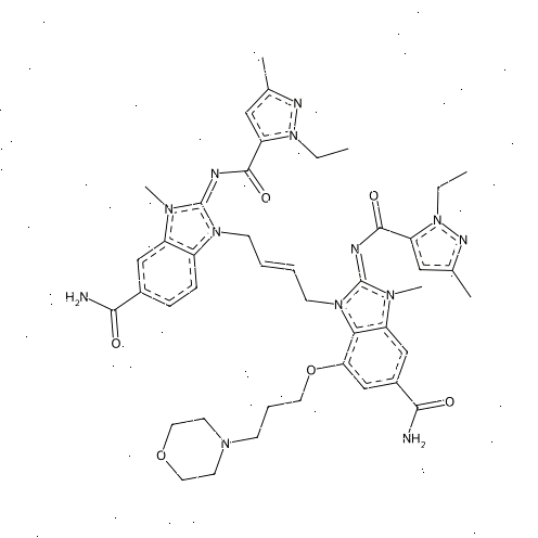 CCn1nc(C)cc1C(=O)/N=c1/n(C)c2cc(C(N)=O)ccc2n1C/C=C/Cn1/c(=N/C(=O)c2cc(C)nn2CC)n(C)c2cc(C(N)=O)cc(OCCCN3CCOCC3)c21